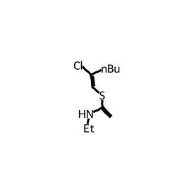 C=C(NCC)S/C=C(/Cl)CCCC